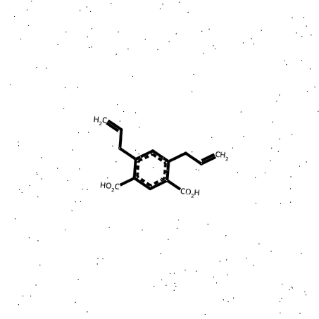 C=CCc1cc(CC=C)c(C(=O)O)cc1C(=O)O